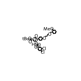 COc1ccccc1COCCCOc1ccc(N2C(=O)CN(C(=O)OC(C)(C)C)C[C@@H]2CNS(=O)(=O)c2ccc(Cl)c(Cl)c2)cc1